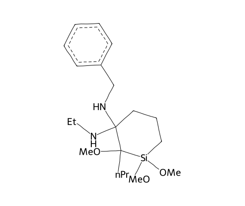 CCCC1(OC)C(NCC)(NCc2ccccc2)CCC[Si]1(OC)OC